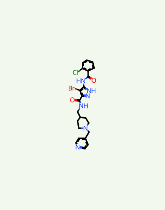 O=C(Nc1[nH]nc(C(=O)NCC2CCN(Cc3ccncc3)CC2)c1Br)c1ccccc1Cl